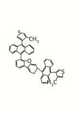 Cc1cscc1-c1c2ccccc2c(-c2cccc3c4c(oc23)=CC(c2c3ccccc3c(-c3cscc3C)c3ccccc23)CC=4)c2ccccc12